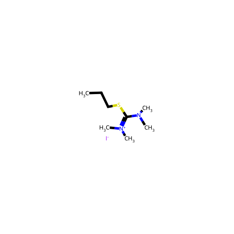 CCCSC(N(C)C)=[N+](C)C.[I-]